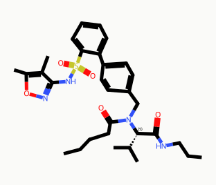 CCCCC(=O)N(Cc1ccc(-c2ccccc2S(=O)(=O)Nc2noc(C)c2C)cc1)[C@H](C(=O)NCCC)C(C)C